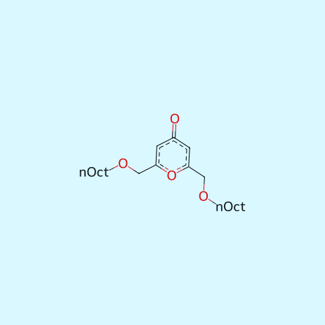 CCCCCCCCOCc1cc(=O)cc(COCCCCCCCC)o1